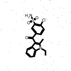 CCn1c(C)c(C(=O)c2ccc(Cl)c(S(N)(=O)=O)c2)c2ccccc21